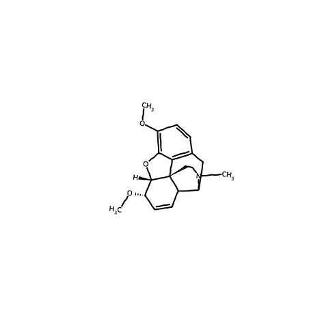 COc1ccc2c3c1O[C@H]1[C@@H](OC)C=CC4C(C2)N(C)CC[C@@]341